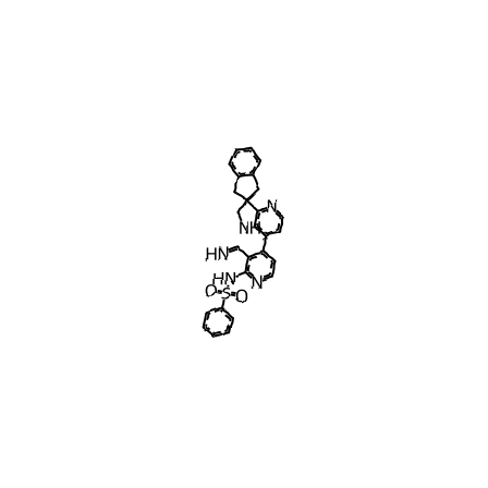 N=Cc1c(-c2ccnc(C3(CN)Cc4ccccc4C3)c2)ccnc1NS(=O)(=O)c1ccccc1